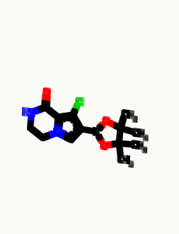 CC1(C)OB(c2cn3c(c2Cl)C(=O)NCC3)OC1(C)C